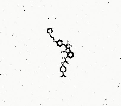 CC(C)N1CCN(NC(=O)Nc2cccc3c2C(=O)c2c-3n[nH]c2-c2ccc(OCCN3CCCC3)cc2)CC1